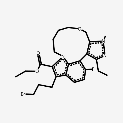 CCOC(=O)c1c(CCCBr)c2ccc(F)c3c2n1CCCCOCc1c-3c(CC)nn1C